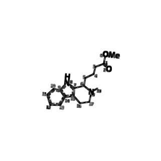 COC(=O)CCCC1c2[nH]c3ccccc3c2CCN1C